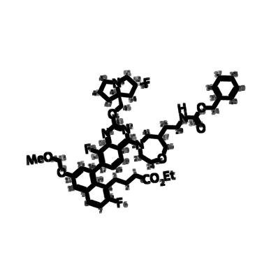 CCOC(=O)CCCc1c(F)ccc2cc(OCOC)cc(-c3ccc4c(N5CCOCC(CCNC(=O)OCc6ccccc6)C5)nc(OC[C@@]56CCCN5C[C@H](F)C6)nc4c3F)c12